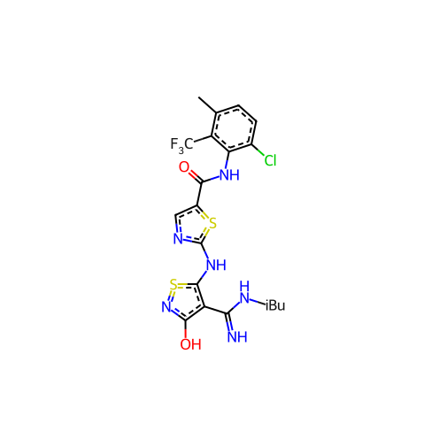 CCC(C)NC(=N)c1c(O)nsc1Nc1ncc(C(=O)Nc2c(Cl)ccc(C)c2C(F)(F)F)s1